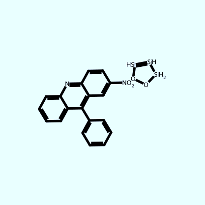 O1O[SiH2][SiH]=[SiH]1.O=[N+]([O-])c1ccc2nc3ccccc3c(-c3ccccc3)c2c1